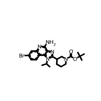 CC(C)n1c(C2CCCN(C(=O)OC(C)(C)C)C2)nc2c(N)nc3cc(Br)ccc3c21